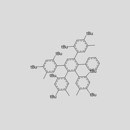 Cc1cc(-c2cc(-c3cc(C)c(C(C)(C)C)cc3C(C)(C)C)c(-c3cc(C)c(C(C)(C)C)cc3C(C)(C)C)c(-c3cc(C)c(C(C)(C)C)cc3C(C)(C)C)c2-c2ccccc2)c(C(C)(C)C)cc1C(C)(C)C